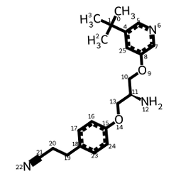 CC(C)(C)c1cncc(OC[C@@H](N)COc2ccc(CCC#N)cc2)c1